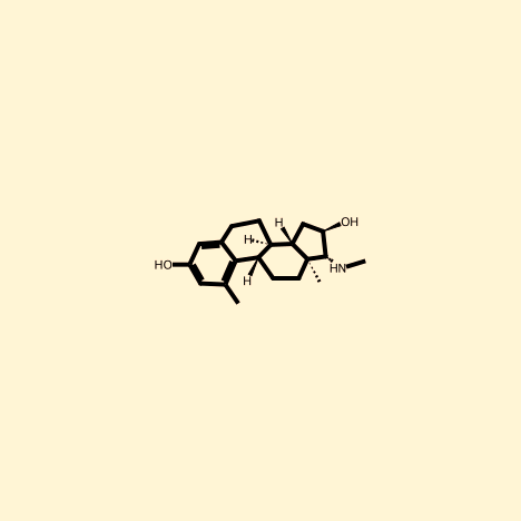 CN[C@H]1[C@H](O)C[C@H]2[C@@H]3CCc4cc(O)cc(C)c4[C@H]3CC[C@@]21C